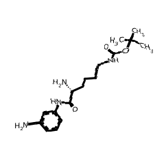 CC(C)(C)OC(=O)NCCCC[C@@H](N)C(=O)Nc1cccc(N)c1